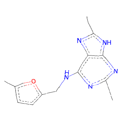 Cc1nc(NCc2ccc(C)o2)c2nc(C)[nH]c2n1